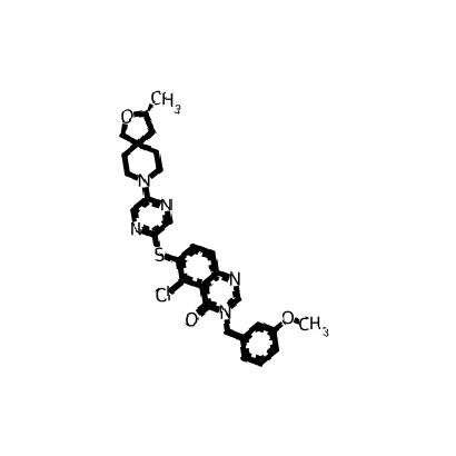 COc1cccc(Cn2cnc3ccc(Sc4cnc(N5CCC6(CC5)CO[C@@H](C)C6)cn4)c(Cl)c3c2=O)c1